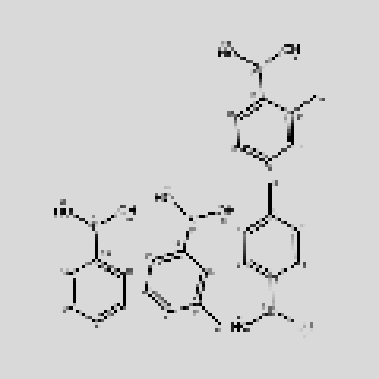 Cc1ccc(B(O)O)cc1.Cc1cccc(B(O)O)c1.Cc1ccccc1B(O)O.OB(O)c1ccccc1